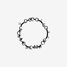 C1COCCOCCOCCOCCOCCOCCN1